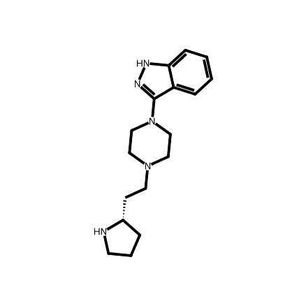 c1ccc2c(N3CCN(CC[C@@H]4CCCN4)CC3)n[nH]c2c1